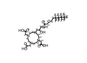 O=C(O)CN1CCN(CC(=O)O)CCN(CC(O)CNC(=O)COCCC(F)(F)C(F)(F)C(F)(F)C(F)(F)F)CCN(CC(=O)O)CC1